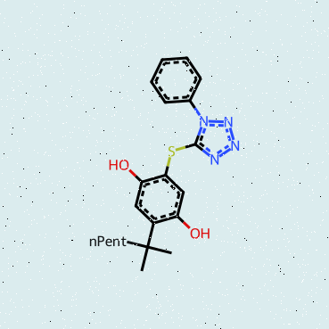 CCCCCC(C)(C)c1cc(O)c(Sc2nnnn2-c2ccccc2)cc1O